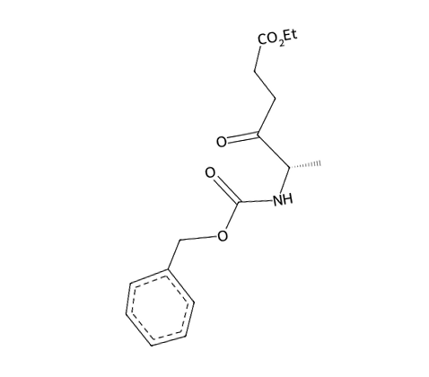 CCOC(=O)CCC(=O)[C@H](C)NC(=O)OCc1ccccc1